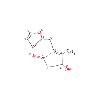 CC1=C(Cc2ccco2)C(=O)CC1O